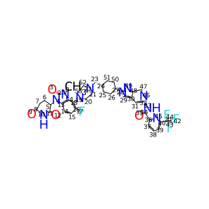 Cn1c(=O)n(C2CCC(=O)NC2=O)c2ccc(F)c(N3CCN(C[C@H]4CC[C@H](n5cc6cc(NC(=O)c7cccc(C(F)(F)F)n7)ncc6n5)CC4)CC3)c21